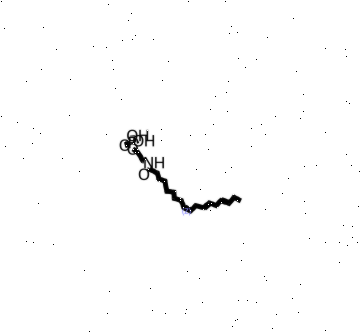 CCC=CCC=CC/C=C\CCCCCCCC(=O)NCCOP(=O)(O)O